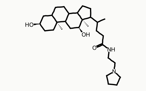 CC(CCC(=O)NCCN1CCCC1)C1CCC2C3CCC4C[C@H](O)CC[C@]4(C)C3C[C@H](O)[C@]12C